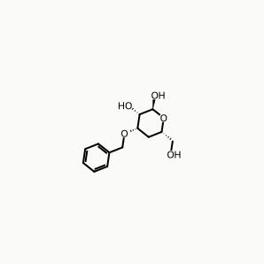 OC[C@@H]1C[C@H](OCc2ccccc2)[C@H](O)[C@@H](O)O1